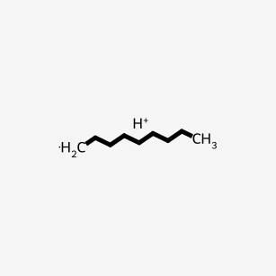 [CH2]CCCCCCCC.[H+]